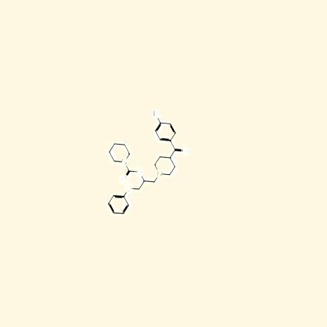 O=C(c1ccc(F)cc1)C1CCN(CC(COc2ccccc2)OC(=O)N2CCCCC2)CC1